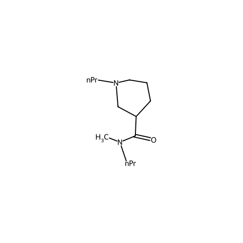 CCCN1CCCC(C(=O)N(C)CCC)C1